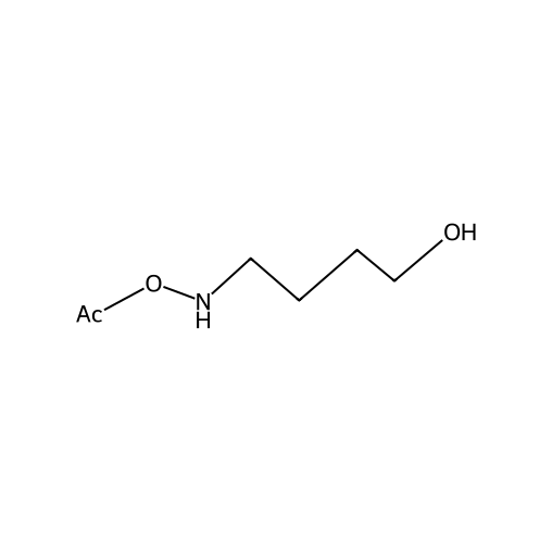 CC(=O)ONCCCCO